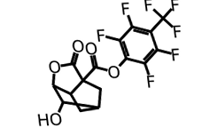 O=C(Oc1c(F)c(F)c(C(F)(F)F)c(F)c1F)C12CC3CC1C(OC2=O)C3O